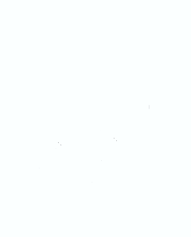 Cc1cnc(CC(O)(C(=O)O)C(N)CC(C)C)cc1Cc1ccccc1